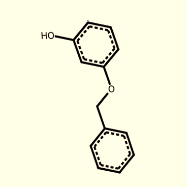 Oc1[c]ccc(OCc2ccccc2)c1